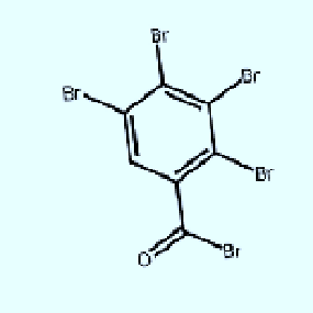 O=C(Br)c1cc(Br)c(Br)c(Br)c1Br